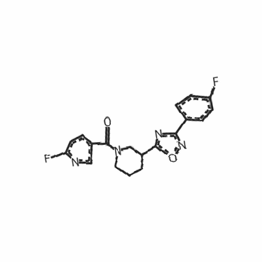 O=C(c1ccc(F)nc1)N1CCCC(c2nc(-c3ccc(F)cc3)no2)C1